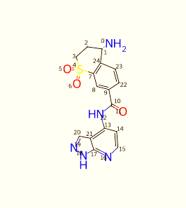 N[C@H]1CCS(=O)(=O)c2cc(C(=O)Nc3ccnc4[nH]ncc34)ccc21